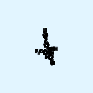 Cl.FC(F)(F)c1cc(NC2CCN(CCN3CCNCC3)CC2)c2c(c1)Sc1cc(N3CCCC3)ccc1N2